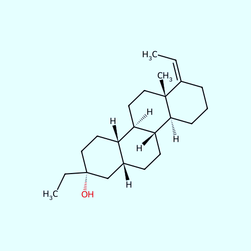 C/C=C1/CCC[C@H]2[C@@H]3CC[C@@H]4C[C@@](O)(CC)CC[C@@H]4[C@H]3CC[C@]12C